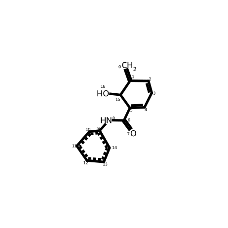 C=C1C=CC=C(C(=O)Nc2ccccc2)C1O